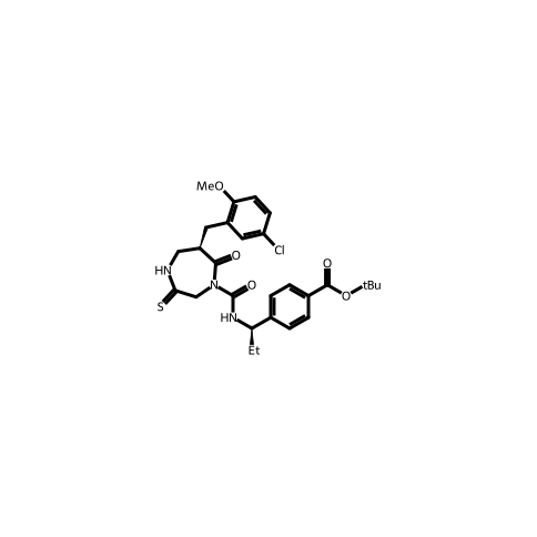 CC[C@@H](NC(=O)N1CC(=S)NC[C@@H](Cc2cc(Cl)ccc2OC)C1=O)c1ccc(C(=O)OC(C)(C)C)cc1